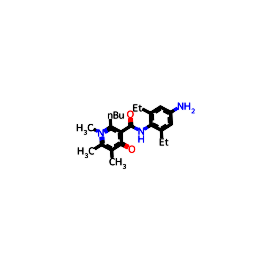 CCCCc1c(C(=O)Nc2c(CC)cc(N)cc2CC)c(=O)c(C)c(C)n1C